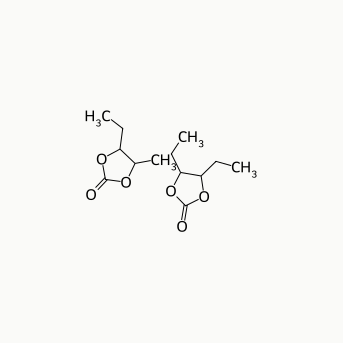 CCC1OC(=O)OC1C.CCC1OC(=O)OC1CC